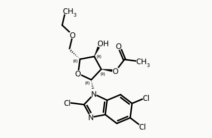 CCOC[C@H]1O[C@@H](n2c(Cl)nc3cc(Cl)c(Cl)cc32)[C@H](OC(C)=O)[C@@H]1O